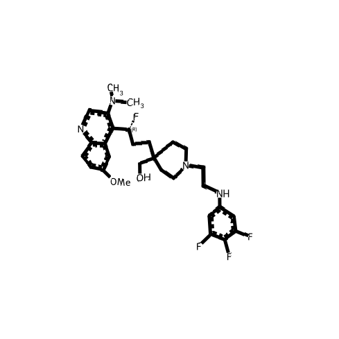 COc1ccc2ncc(N(C)C)c([C@H](F)CCC3(CO)CCN(CCNc4cc(F)c(F)c(F)c4)CC3)c2c1